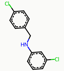 Clc1ccc(CNc2cccc(Cl)c2)cc1